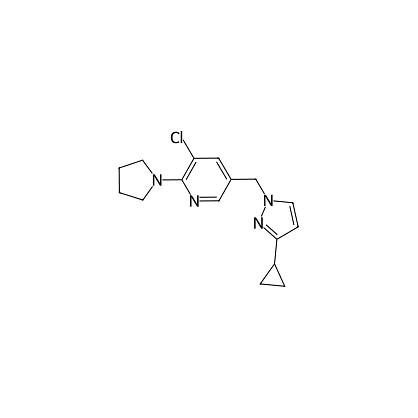 Clc1cc(Cn2ccc(C3CC3)n2)cnc1N1CCCC1